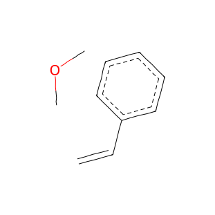 C=Cc1ccccc1.COC